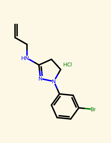 C=CCNC1=NN(c2cccc(Br)c2)CC1.Cl